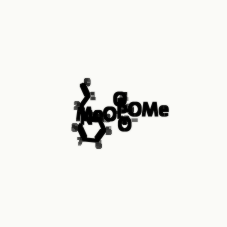 C=CC[n+]1ccccc1.COP(=O)([O-])OC